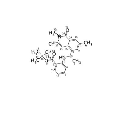 Cc1cc(C(C)Nc2ccccc2C(=O)OC(C)(C)C)c2cc(Cl)n(C)c(=O)c2c1